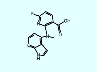 CN(c1nc(F)ccc1C(=O)O)c1ccnc2[nH]ccc12